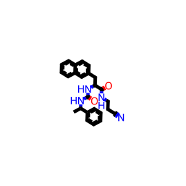 CC(NC(=O)NC(Cc1ccc2ccccc2c1)C(=O)NCCC#N)c1ccccc1